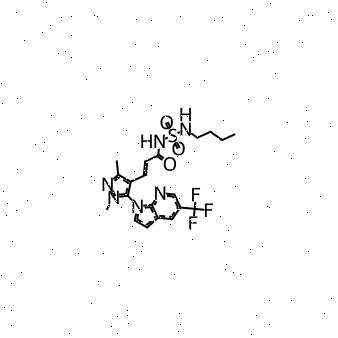 CCCCNS(=O)(=O)NC(=O)/C=C/c1c(C)nn(C)c1-n1ccc2cc(C(F)(F)F)cnc21